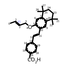 C/C=C/COc1cc2c(cc1C=Cc1ccc(C(=O)O)cc1)C(C)(C)CCC2(C)C